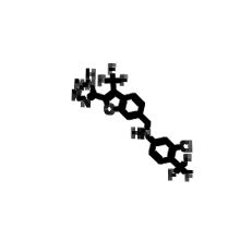 FC(F)(F)c1ccc(NCc2ccc3c(C(F)(F)F)c(-c4nnn[nH]4)oc3c2)cc1Cl